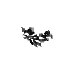 Cc1cccc(/C=C2/c3ccccc3CCc3ncccc32)c1